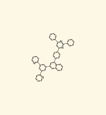 c1ccc(-c2cc(-c3ccc(-c4cc(-c5cc(-c6ccccn6)cc(-c6ccccn6)c5)cc5ccccc45)cc3)nc(-c3ccccc3)n2)cc1